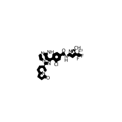 Cn1nc(NC(=O)c2ccc(-c3nc([C@@H]4CCC5CCC(=O)N5C4)n4ccnc(N)c34)c(Cl)c2)cc1C(F)(F)F